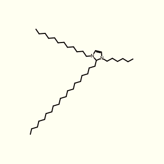 CCCCCCCCCCCCCCCCCCCC1N(CCCCCC)C=CN1CCCCCCCCCCCC